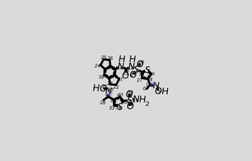 C/C(=N\O)c1csc(S(=O)(=O)NC(=O)Nc2c3c(cc4c2CCC4)CCC3)c1.C/C(=N\O)c1csc(S(N)(=O)=O)c1